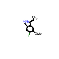 CC=C1NCc2cc(F)c(OC)cc21